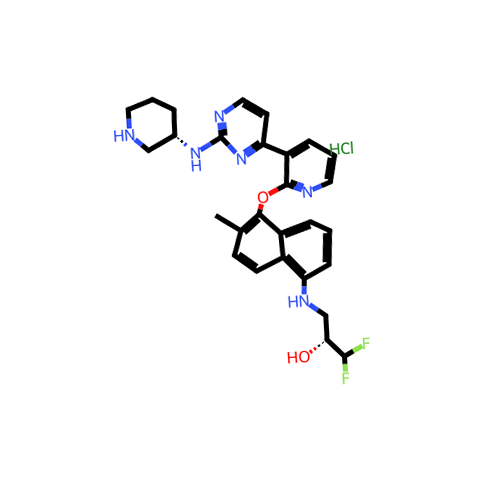 Cc1ccc2c(NC[C@@H](O)C(F)F)cccc2c1Oc1ncccc1-c1ccnc(N[C@H]2CCCNC2)n1.Cl